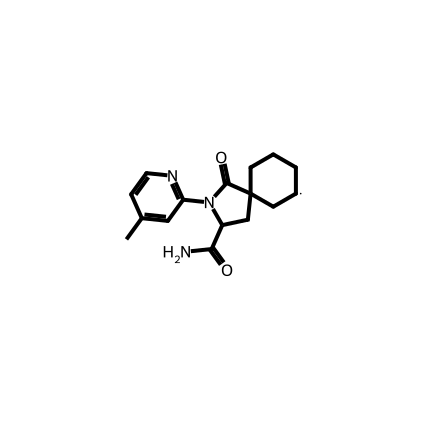 Cc1ccnc(N2C(=O)C3(C[CH]CCC3)CC2C(N)=O)c1